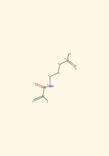 C=C(C)C(=O)NCCC[Si](C)=O